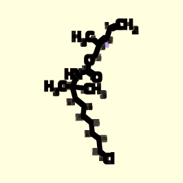 C=C/C=C(\C)COC(=O)NC(C)(C)CCCCCCCCl